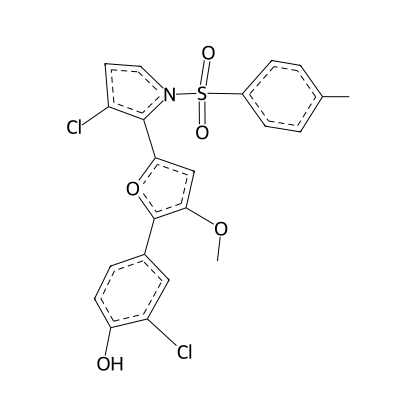 COc1cc(-c2c(Cl)ccn2S(=O)(=O)c2ccc(C)cc2)oc1-c1ccc(O)c(Cl)c1